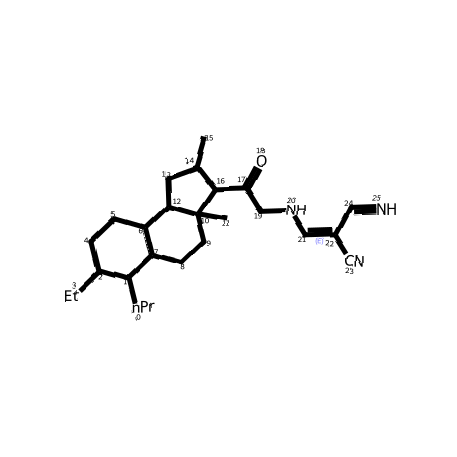 CCCC1C(CC)CCC2C1CCC1(C)C2CC(C)C1C(=O)CN/C=C(/C#N)C=N